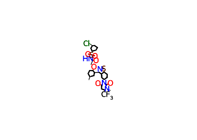 Cc1ccc(OCC(=O)NS(=O)(=O)c2cccc(Cl)c2)c(-c2nsc3ccc(-n4c(=O)cc(C(F)(F)F)n(C)c4=O)cc23)c1